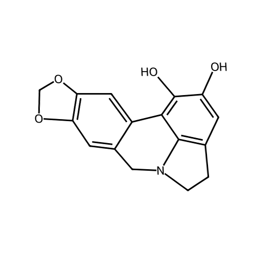 Oc1cc2c3c(c1O)-c1cc4c(cc1CN3CC2)OCO4